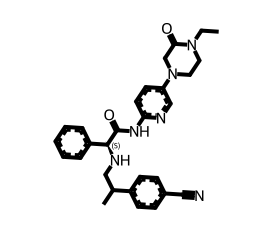 CCN1CCN(c2ccc(NC(=O)[C@@H](NCC(C)c3ccc(C#N)cc3)c3ccccc3)nc2)CC1=O